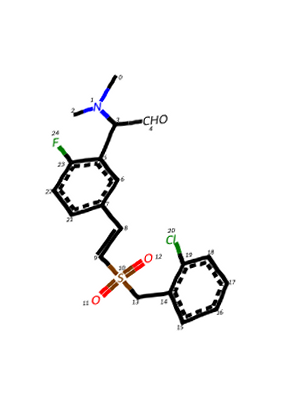 CN(C)C(C=O)c1cc(C=CS(=O)(=O)Cc2ccccc2Cl)ccc1F